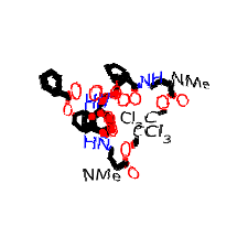 CNC(CCNC(=O)C1C2CCC(C(OC(=O)c3ccccc3)C2)C1C(=O)NC(=O)C1C2CCC(CC2OC(=O)c2ccccc2)C1C(=O)NCCC(NC)C(=O)OCC(Cl)(Cl)Cl)C(=O)OCC(Cl)(Cl)Cl